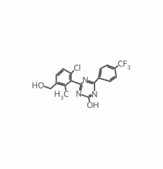 Cc1c(CO)ccc(Cl)c1-c1nc(O)nc(-c2ccc(C(F)(F)F)cc2)n1